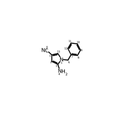 N#Cc1cc(N)n(Cc2ccccc2)c1